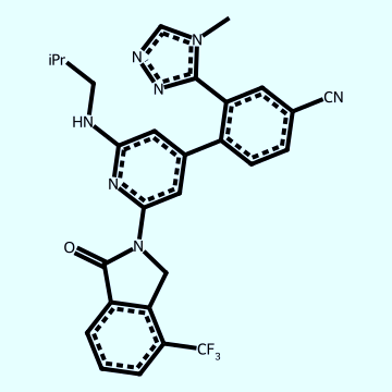 CC(C)CNc1cc(-c2ccc(C#N)cc2-c2nncn2C)cc(N2Cc3c(cccc3C(F)(F)F)C2=O)n1